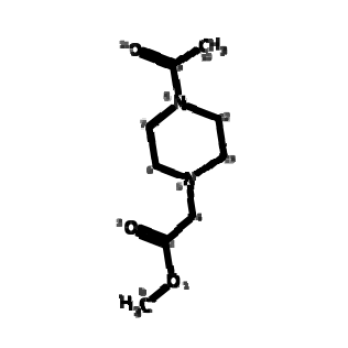 COC(=O)CN1CCN(C(C)=O)CC1